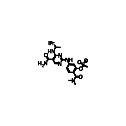 CC(C)C(C)Nc1nc(Nc2ccc(C(=O)N(C)C)c(OS(C)(=O)=O)c2)ncc1C(N)=O